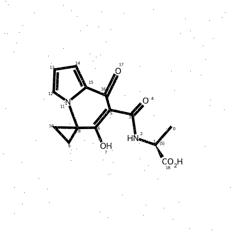 C[C@H](NC(=O)C1=C(O)C2(CC2)n2cccc2C1=O)C(=O)O